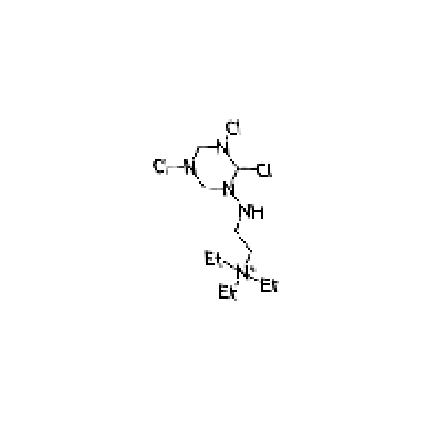 CC[N+](CC)(CC)CCNN1CN(Cl)CN(Cl)C1Cl